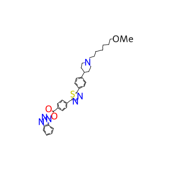 COCCCCCCCN1CCC(c2ccc(-c3nnc(-c4ccc(C(=O)On5nnc6ccccc65)cc4)s3)cc2)CC1